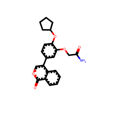 NC(=O)COc1cc(-c2coc(=O)c3ccccc23)ccc1OC1CCCC1